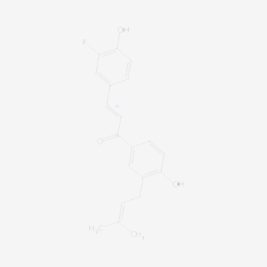 CC(C)=CCc1cc(C(=O)/C=C/c2ccc(O)c(F)c2)ccc1O